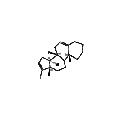 C[C@]12CCCCC1=CC[C@@H]1C2CC[C@]2(C)C(I)=CC[C@@H]12